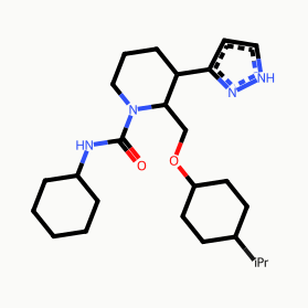 CC(C)C1CCC(OCC2C(c3cc[nH]n3)CCCN2C(=O)NC2CCCCC2)CC1